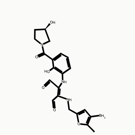 Bc1cc(CN/C(C=O)=C(/C=O)Nc2cccc(C(=O)N3CC[C@@H](O)C3)c2O)oc1C